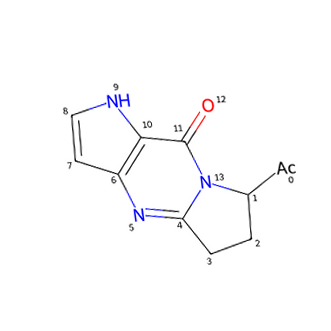 CC(=O)C1CCc2nc3cc[nH]c3c(=O)n21